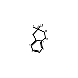 CCC1(C)[C]c2ccccc2CC1